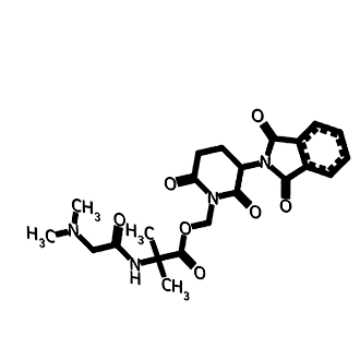 CN(C)CC(=O)NC(C)(C)C(=O)OCN1C(=O)CCC(N2C(=O)c3ccccc3C2=O)C1=O